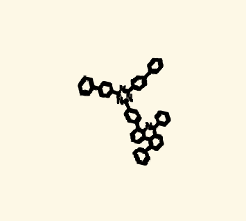 c1ccc(-c2ccc(-c3nc(-c4ccc(-c5ccccc5)cc4)nc(-c4ccc(-c5cccc6c5nc(-c5ccccc5)c5cccc(-c7ccccc7)c56)cc4)n3)cc2)cc1